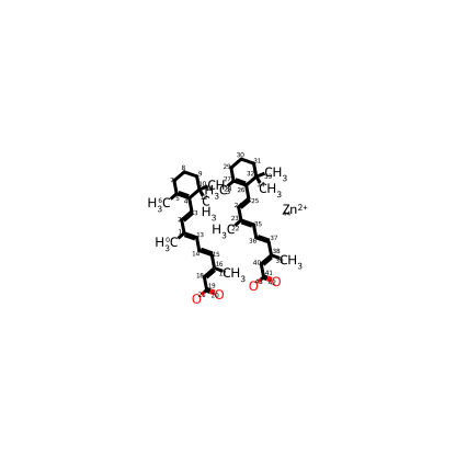 CC(C=CC1=C(C)CCCC1(C)C)=CC=CC(C)=CC(=O)[O-].CC(C=CC1=C(C)CCCC1(C)C)=CC=CC(C)=CC(=O)[O-].[Zn+2]